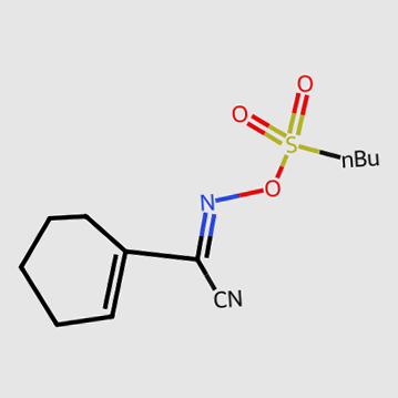 CCCCS(=O)(=O)ON=C(C#N)C1=CCCCC1